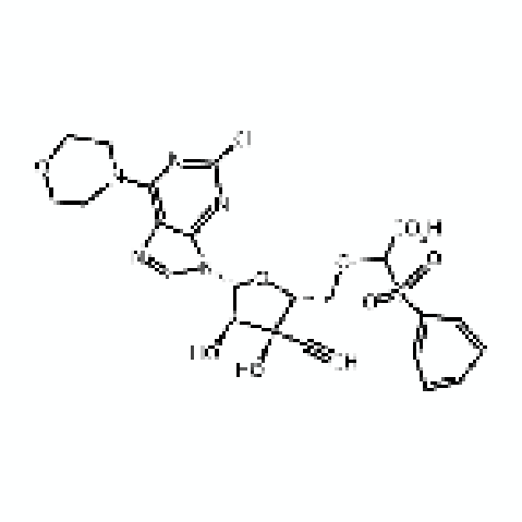 C#C[C@@]1(O)[C@@H](COC(C(=O)O)S(=O)(=O)c2ccccc2)O[C@@H](n2cnc3c(N4CCOCC4)nc(Cl)nc32)[C@@H]1O